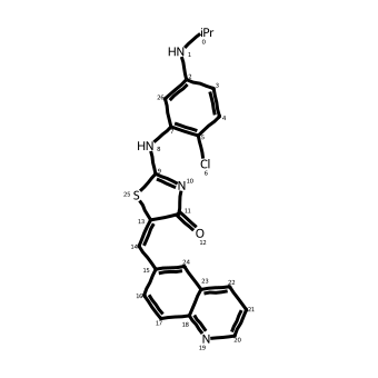 CC(C)Nc1ccc(Cl)c(NC2=NC(=O)C(=Cc3ccc4ncccc4c3)S2)c1